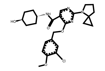 COc1ccc(COc2nc(N3CCCC34CC4)ncc2C(=O)N[C@H]2CC[C@H](O)CC2)cc1Cl